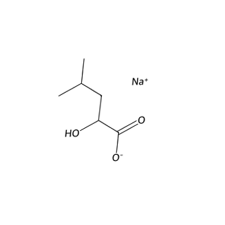 CC(C)CC(O)C(=O)[O-].[Na+]